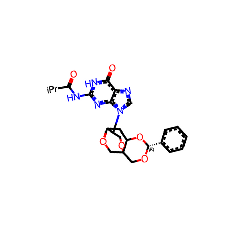 CC(C)C(=O)Nc1nc2c(ncn2C2COC34COC2CC3O[C@H](c2ccccc2)OC4)c(=O)[nH]1